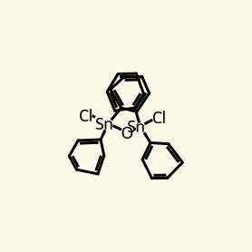 [Cl][Sn]([O][Sn]([Cl])([c]1ccccc1)[c]1ccccc1)([c]1ccccc1)[c]1ccccc1